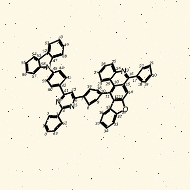 c1ccc(-c2nc(-c3ccc(-c4c5c(cc6c(-c7ccccc7)nc7ccccc7c46)oc4ccccc45)cc3)cc(-c3ccc(-n4c5ccccc5c5ccccc54)cc3)n2)cc1